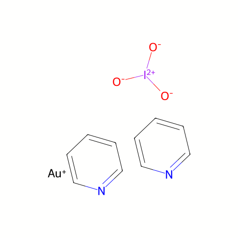 [Au+].[O-][I+2]([O-])[O-].c1ccncc1.c1ccncc1